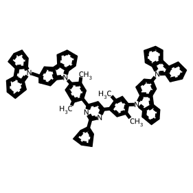 Cc1cc(-n2c3ccccc3c3cc(-n4c5ccccc5c5ccccc54)ccc32)c(C)cc1-c1cc(-c2cc(C)c(-n3c4ccccc4c4cc(-n5c6ccccc6c6ccccc65)ccc43)cc2C)nc(-c2ccccc2)n1